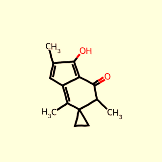 CC1=CC2=C(C)C3(CC3)C(C)C(=O)C2=C1O